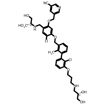 Cc1c(COc2cc(OCc3cncc(C#N)c3)c(CN[C@@H](CO)C(=O)O)cc2Cl)cccc1-c1cccc(OCCCNC[C@H](O)CO)c1Cl